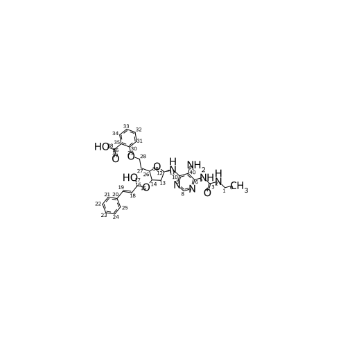 CCNC(=O)Nc1ncnc(N[C@H]2CC(O[C@@H](O)/C=C/c3ccccc3)C(CCOc3ccccc3C(=O)O)O2)c1N